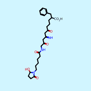 N=C(CC(=O)CCCC(Cc1ccccc1)C(=O)O)CC(=O)CNC(=O)CCCCCN1C(=O)CCC1O